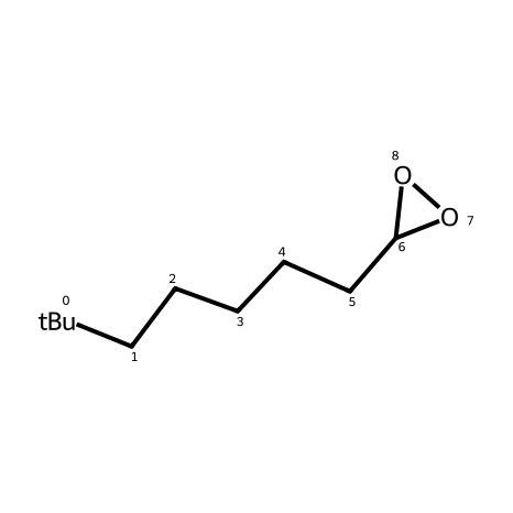 CC(C)(C)CCCCCC1OO1